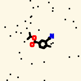 Cc1ccc(C(=O)OC(C)C)cc1C#N